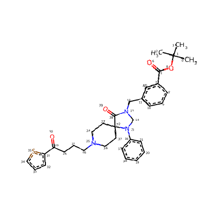 CC(C)(C)OC(=O)c1cccc(CN2CN(c3ccccc3)C3(CCN(CCCC(=O)c4cccs4)CC3)C2=O)c1